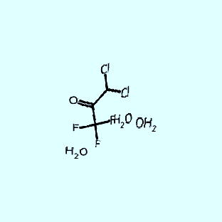 O.O.O.O=C(C(Cl)Cl)C(F)(F)F